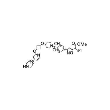 COC(=O)C(c1cc(N2CCC(C(C)(C)N3CCC(O[C@H]4C[C@H](Oc5cc(N6C7CCC6CNC7)ccn5)C4)CC3)CC2)no1)C(C)C